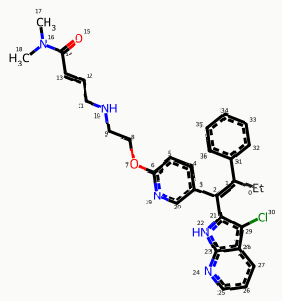 CC/C(=C(/c1ccc(OCCNC/C=C/C(=O)N(C)C)nc1)c1[nH]c2ncccc2c1Cl)c1ccccc1